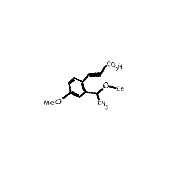 CCOC(C)c1cc(OC)ccc1/C=C/C(=O)O